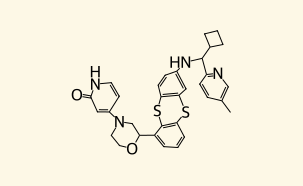 Cc1ccc(C(Nc2ccc3c(c2)Sc2cccc(C4CN(c5cc[nH]c(=O)c5)CCO4)c2S3)C2CCC2)nc1